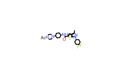 CC(=O)N1CCN(C2CCC(NC(=O)c3cc4c(C)nn(C5CCC(F)(F)CC5)c4s3)CC2)CC1